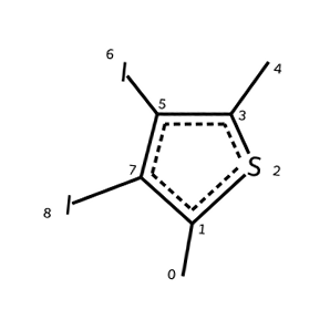 Cc1sc(C)c(I)c1I